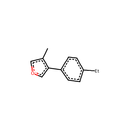 CCc1ccc(-c2cocc2C)cc1